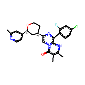 Cc1cc([C@@H]2C[C@H](c3cn4c(=O)c(C)c(C)nc4c(-c4ccc(Cl)cc4F)n3)CCO2)ccn1